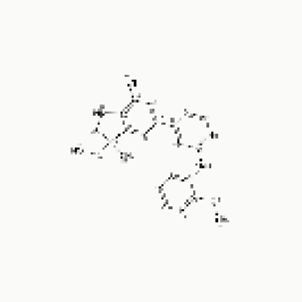 CCCCOc1ncccc1Nc1nccc(-c2cc(C#N)c3c(c2)[C@@](C)(CO)CN3)n1